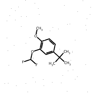 COc1ccc(C(C)(C)C)cc1OC(F)F